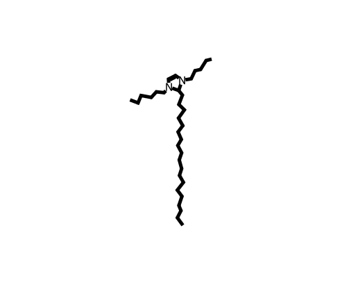 CCCCCCCCCCCCCCCCCCCC1N(CCCCC)C=CN1CCCCCC